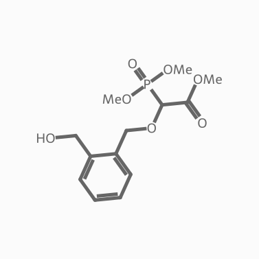 COC(=O)C(OCc1ccccc1CO)P(=O)(OC)OC